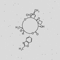 C=CC[C@H]1C(=O)C2(CCC2)[C@@H](O)CC(=O)O[C@H](c2ccc3oc(C)nc3c2)C[C@@H]2O[C@]2(C)CCO[C@H](C)[C@H]1O